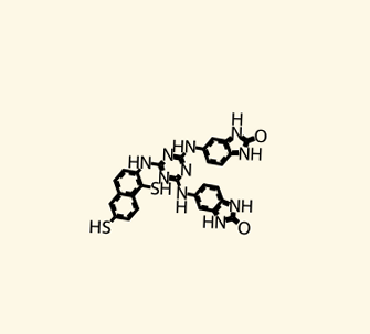 O=c1[nH]c2ccc(Nc3nc(Nc4ccc5[nH]c(=O)[nH]c5c4)nc(Nc4ccc5cc(S)ccc5c4S)n3)cc2[nH]1